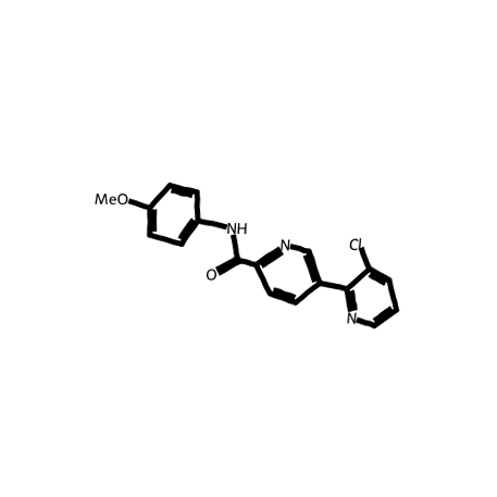 COc1ccc(NC(=O)c2ccc(-c3ncccc3Cl)cn2)cc1